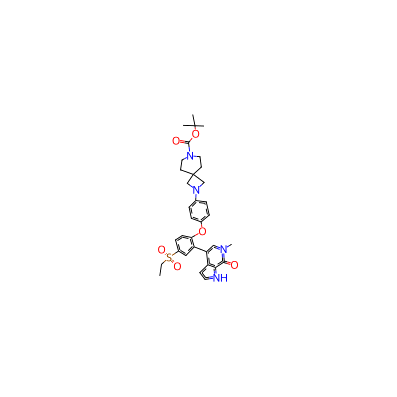 CCS(=O)(=O)c1ccc(Oc2ccc(N3CC4(CCN(C(=O)OC(C)(C)C)CC4)C3)cc2)c(-c2cn(C)c(=O)c3[nH]ccc23)c1